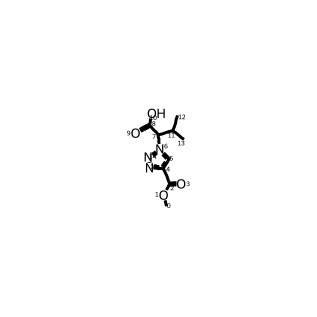 COC(=O)c1cn(C(C(=O)O)C(C)C)nn1